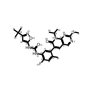 CSc1ncc2cc(-c3cc(NC(=O)Nc4cc(C(C)(C)C)no4)c(F)cc3C)c(=O)n(C(C)C)c2n1